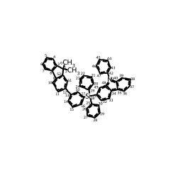 CC1(C)c2ccccc2-c2ccc(-c3cccc([Si](c4ccccc4)(c4ccccc4)c4ccc5c6ccccc6n(-c6ccccc6)c5c4)c3)cc21